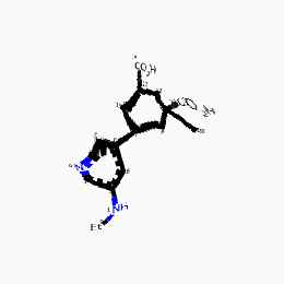 CCNc1cncc(C2=CC(C)(C(=O)O)CC(C(=O)O)=C2)c1